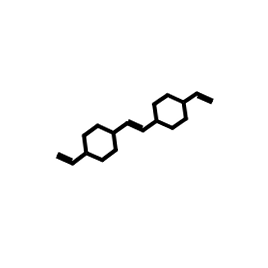 C=CC1CCC(C=CC2CCC(C=C)CC2)CC1